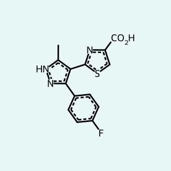 Cc1[nH]nc(-c2ccc(F)cc2)c1-c1nc(C(=O)O)cs1